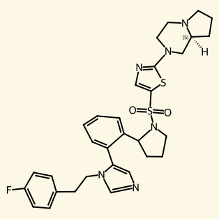 O=S(=O)(c1cnc(N2CCN3CCC[C@H]3C2)s1)N1CCCC1c1ccccc1-c1cncn1CCc1ccc(F)cc1